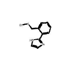 CCSCc1ccccc1-c1ncc[nH]1